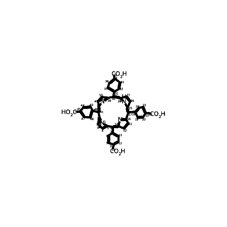 Cn1c2ccc1c(-c1ccc(C(=O)O)cc1)c1nc(c(-c3ccc(C(=O)O)cc3)c3ccc([nH]3)c(-c3ccc(C(=O)O)cc3)c3nc(c2-c2ccc(C(=O)O)cc2)C=C3)C=C1